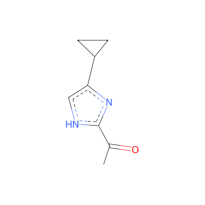 CC(=O)c1nc(C2CC2)c[nH]1